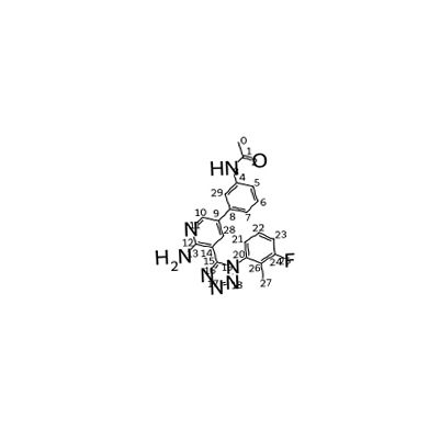 CC(=O)Nc1cccc(-c2cnc(N)c(-c3nnnn3-c3cccc(F)c3C)c2)c1